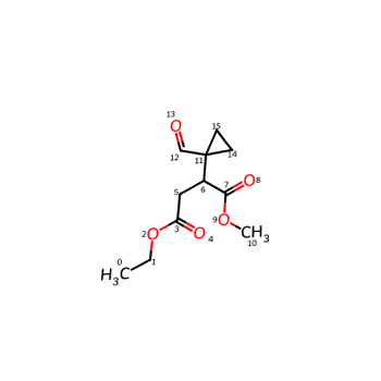 CCOC(=O)CC(C(=O)OC)C1(C=O)CC1